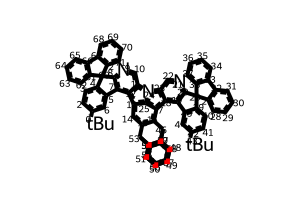 CC(C)(C)c1ccc2c(c1)-c1c(ncc3c1c1cc4c(c5c6c7c(ncc6n3c15)C1(c3ccccc3-c3ccccc31)c1ccc(C(C)(C)C)cc1-7)C1c3ccccc3C4c3ccccc31)C21c2ccccc2-c2ccccc21